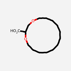 O=C(O)C1COCCCCCCCCCCCCO1